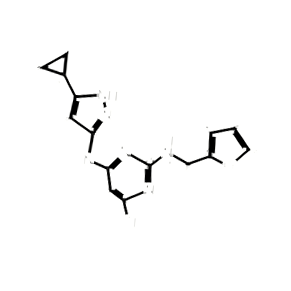 Cc1cc(Nc2cc(C3CC3)[nH]n2)nc(NCc2ccco2)n1